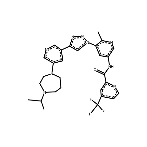 Cc1ncc(NC(=O)c2cc(C(F)(F)F)ccn2)cc1-n1cc(-c2cncc(N3CCCN(C(C)C)CC3)c2)nn1